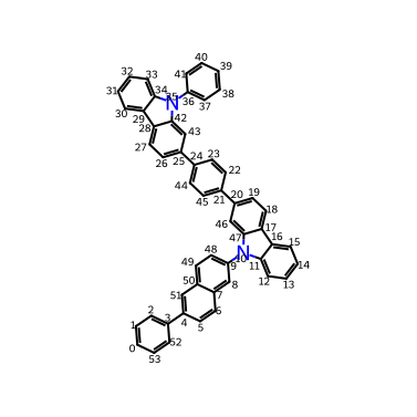 c1ccc(-c2ccc3cc(-n4c5ccccc5c5ccc(-c6ccc(-c7ccc8c9ccccc9n(-c9ccccc9)c8c7)cc6)cc54)ccc3c2)cc1